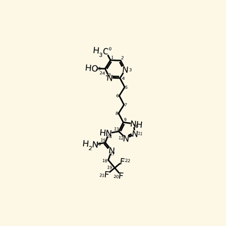 Cc1cnc(CCCCc2[nH]nnc2NC(N)=NCC(F)(F)F)nc1O